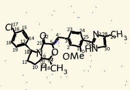 COc1cc(/C=C2\O[C@@H](C)[C@H]3CC[C@@H](c4ccc(Cl)cc4)N3C2=O)ccc1-c1nc(C)c[nH]1